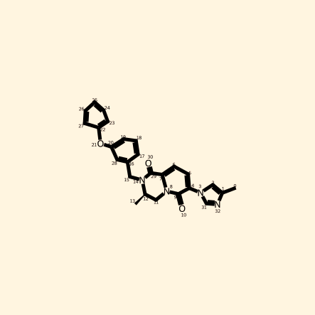 Cc1cn(-c2ccc3n(c2=O)C[C@@H](C)N(Cc2cccc(Oc4ccccc4)c2)C3=O)cn1